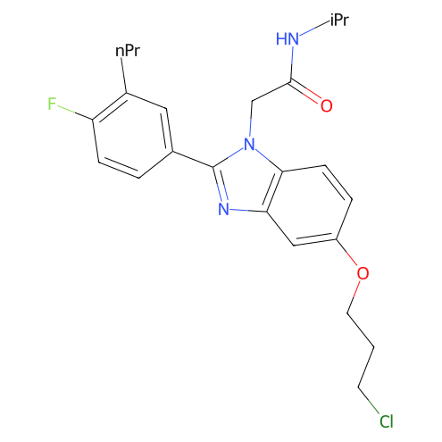 CCCc1cc(-c2nc3cc(OCCCCl)ccc3n2CC(=O)NC(C)C)ccc1F